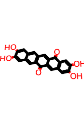 O=C1C2=Cc3cc4cc(O)c(O)cc4cc3C(=O)C2=Cc2cc(O)c(O)cc21